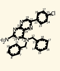 Nc1nc(N(Cc2ccccc2)Cc2ccccc2)c2nc(-c3ccc(Cl)cc3)cnc2n1